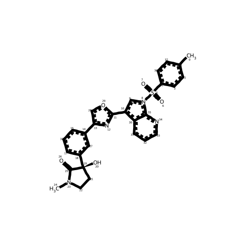 Cc1ccc(S(=O)(=O)n2cc(-c3nc(-c4cccc([C@]5(O)CCN(C)C5=O)c4)co3)c3cccnc32)cc1